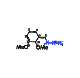 COC1=CC=CC(=CN=[N+]=[N-])C1OC